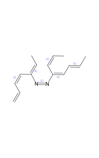 C=C/C=C\C(=C/C)\N=N/C(/C=C\C)=C/C=C/C